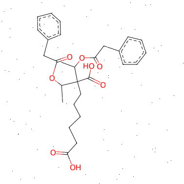 CC(OC(=O)Cc1ccccc1)C(CCCCCC(=O)O)(C(=O)O)C(C)OC(=O)Cc1ccccc1